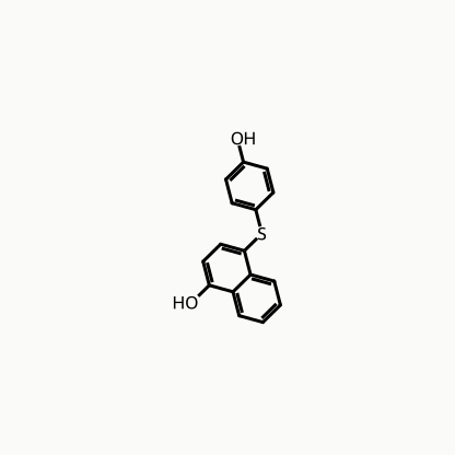 Oc1ccc(Sc2ccc(O)c3ccccc23)cc1